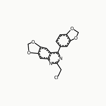 ClCc1nc(-c2ccc3c(c2)OCO3)c2cc3c(cc2n1)OCO3